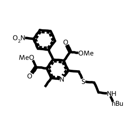 CCCCNCCSCc1nc(C)c(C(=O)OC)c(-c2cccc([N+](=O)[O-])c2)c1C(=O)OC